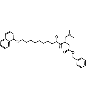 CN(C)CC(CC(=O)OCc1ccccc1)NC(=O)CCCCCCCCOc1cccc2ccccc12